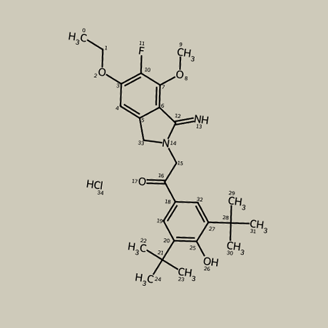 CCOc1cc2c(c(OC)c1F)C(=N)N(CC(=O)c1cc(C(C)(C)C)c(O)c(C(C)(C)C)c1)C2.Cl